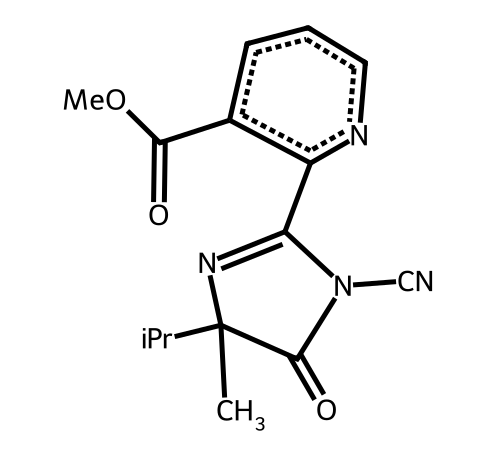 COC(=O)c1cccnc1C1=NC(C)(C(C)C)C(=O)N1C#N